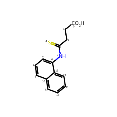 O=C(O)CCC(=S)Nc1cccc2ccccc12